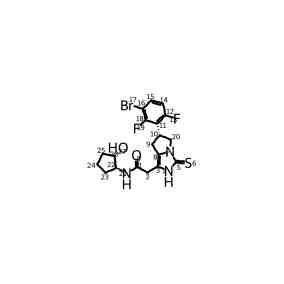 O=C(Cc1[nH]c(=S)n2c1C[C@H](c1c(F)ccc(Br)c1F)C2)N[C@H]1CCC[C@@H]1O